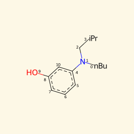 CCCCN(CC(C)C)c1cccc(O)c1